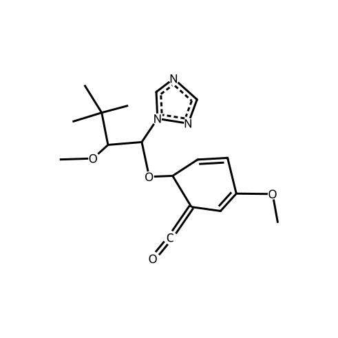 COC1=CC(=C=O)C(OC(C(OC)C(C)(C)C)n2cncn2)C=C1